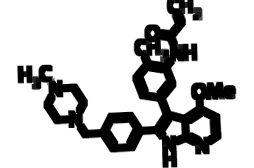 C=CC(=O)Nc1cc(-c2c(-c3ccc(CN4CCN(C)CC4)cc3)[nH]c3nccc(OC)c23)ccc1C